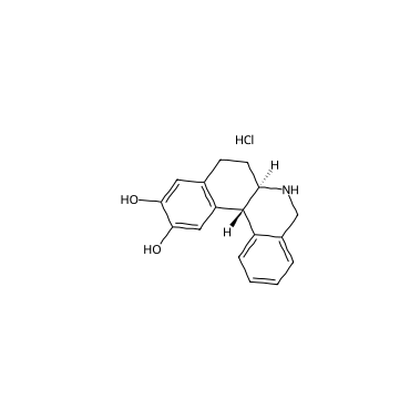 Cl.Oc1cc2c(cc1O)[C@H]1c3ccccc3CN[C@@H]1CC2